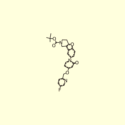 CC(C)(C)OC(=O)N1CCc2oc3ccc(-n4ccc(OCc5ccc(F)cn5)cc4=O)cc3c2C1